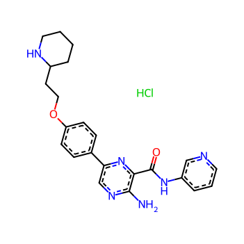 Cl.Nc1ncc(-c2ccc(OCCC3CCCCN3)cc2)nc1C(=O)Nc1cccnc1